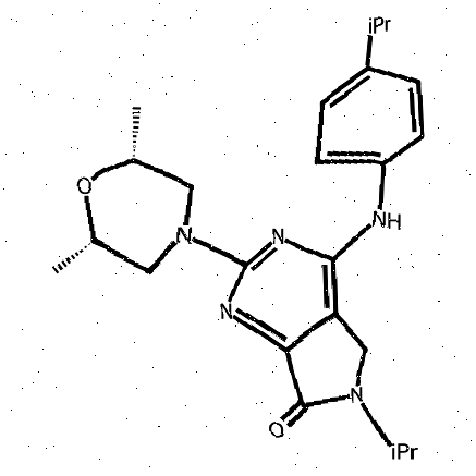 CC(C)c1ccc(Nc2nc(N3C[C@@H](C)O[C@@H](C)C3)nc3c2CN(C(C)C)C3=O)cc1